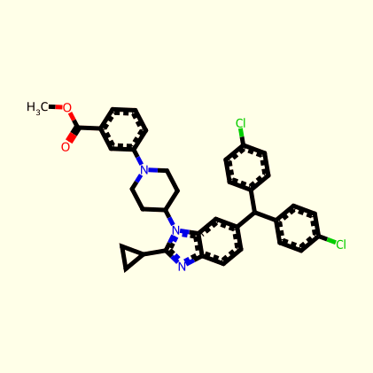 COC(=O)c1cccc(N2CCC(n3c(C4CC4)nc4ccc(C(c5ccc(Cl)cc5)c5ccc(Cl)cc5)cc43)CC2)c1